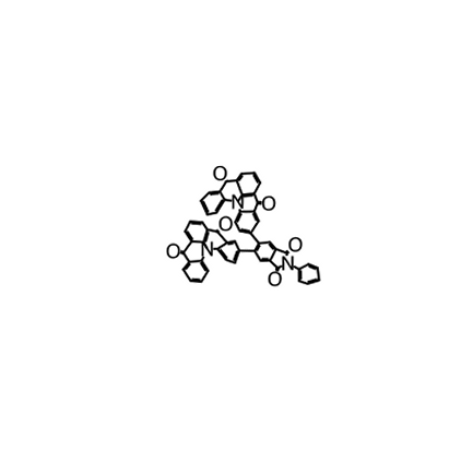 O=C1c2cc(-c3ccc4c(c3)c(=O)c3cccc5c(=O)c6ccccc6n4c53)c(-c3ccc4c(c3)c(=O)c3cccc5c(=O)c6ccccc6n4c53)cc2C(=O)N1c1ccccc1